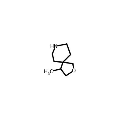 CC1COCC12CCNCC2